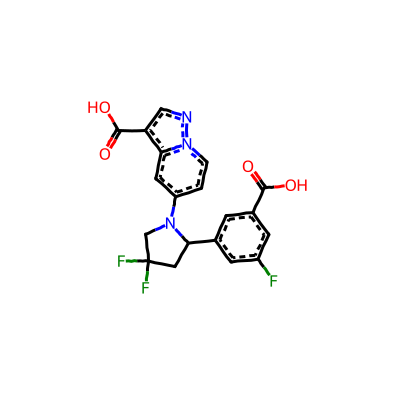 O=C(O)c1cc(F)cc(C2CC(F)(F)CN2c2ccn3ncc(C(=O)O)c3c2)c1